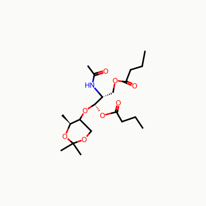 CCCC(=O)OC[C@@H](NC(C)=O)[C@H](OC(=O)CCC)OC1COC(C)(C)O[C@H]1C